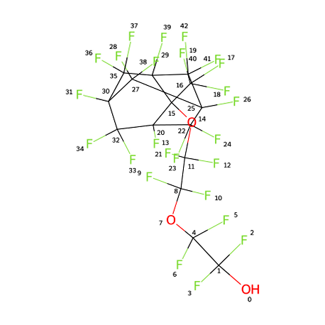 OC(F)(F)C(F)(F)OC(F)(F)C(F)(F)OC1(C(F)(F)F)C2(F)C(F)(F)C3(F)C(F)(F)C(F)(C2(F)F)C(F)(F)C1(F)C3(F)F